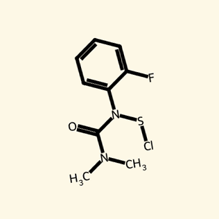 CN(C)C(=O)N(SCl)c1ccccc1F